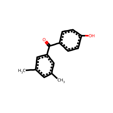 Cc1cc(C)cc(C(=O)c2ccc(O)cc2)c1